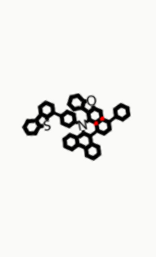 c1ccc(-c2ccc(-c3c(N(c4ccc(-c5cccc6c5sc5ccccc56)cc4)c4cccc5oc6ccccc6c45)c4ccccc4c4ccccc34)cc2)cc1